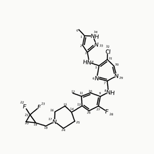 Cc1cc(Nc2nc(Nc3cc(C)c(C4CCN(CC5CC5(F)F)CC4)cc3F)ncc2Cl)n[nH]1